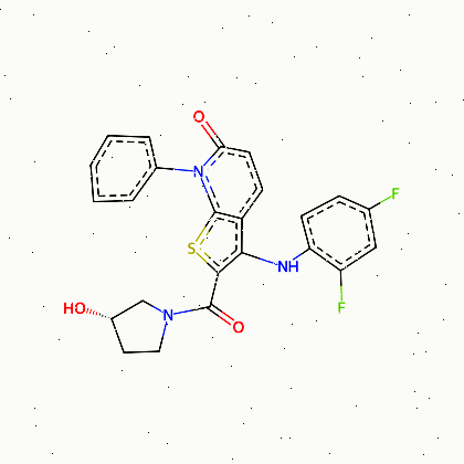 O=C(c1sc2c(ccc(=O)n2-c2ccccc2)c1Nc1ccc(F)cc1F)N1CC[C@H](O)C1